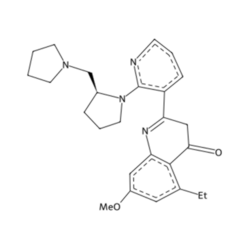 CCc1cc(OC)cc2c1C(=O)CC(c1cccnc1N1CCC[C@H]1CN1CCCC1)=N2